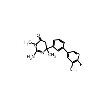 Cc1cc(-c2cccc(C3(C)CC(=O)N(C)C(N)=N3)c2)cnc1F